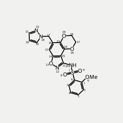 COc1ccccc1S(=O)(=O)Nc1noc2cc(Cn3cccn3)c3c(c12)OCCO3